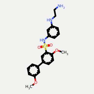 COc1cccc(-c2ccc(OC)c(S(=O)(=O)Nc3cccc(NCCN)c3)c2)c1